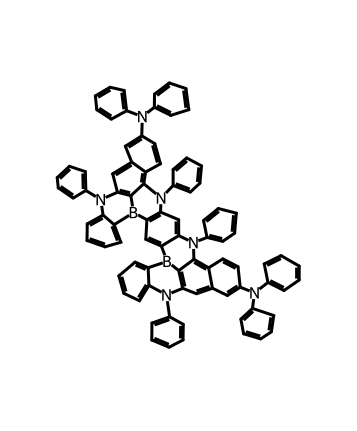 c1ccc(N(c2ccccc2)c2ccc3c4c5c(cc3c2)N(c2ccccc2)c2ccccc2B5c2cc3c(cc2N4c2ccccc2)N(c2ccccc2)c2c4c(cc5cc(N(c6ccccc6)c6ccccc6)ccc25)N(c2ccccc2)c2ccccc2B34)cc1